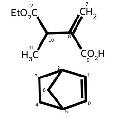 C1=CC2CCC1C2.C=C(C(=O)O)C(C)C(=O)OCC